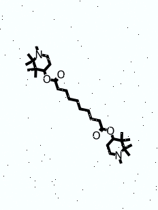 CN1CCC(OC(=O)CCCCCCCCC(=O)OC2CCN(C)C(C)(C)C2(C)C)C(C)(C)C1(C)C